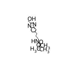 CC(C)(C)OC(=O)NCCCc1ccc2nc(CO)cnc2c1